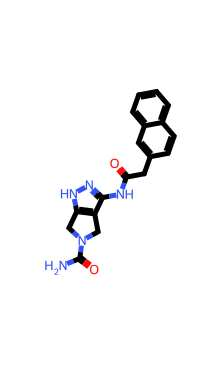 NC(=O)N1Cc2[nH]nc(NC(=O)Cc3ccc4ccccc4c3)c2C1